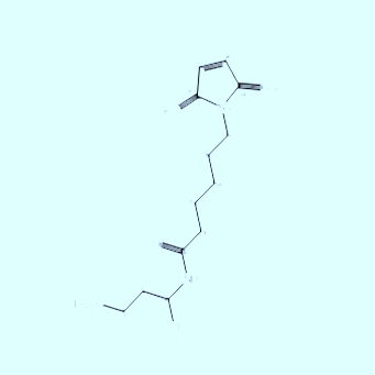 O=CC(CCC(=O)O)NC(=O)CCCCCN1C(=O)C=CC1=O